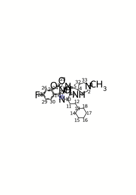 CN1CCC(C#N)(NC(=O)C(CCC2CCCCC2)/N=c2\[nH]c(=O)oc3cc(F)ccc23)CC1